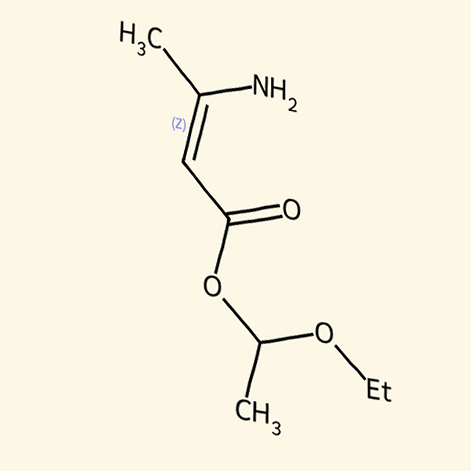 CCOC(C)OC(=O)/C=C(/C)N